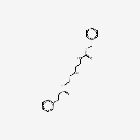 O=C(NCCNCCNC(=O)OCc1ccccc1)OCc1ccccc1